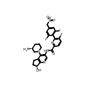 N[C@H]1CCCN(c2c(NC(=O)c3ccc(F)c(-c4c(F)cc(C[SH](=O)=O)cc4F)n3)cnc3c2CC[C@@H]3O)C1